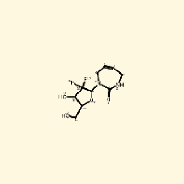 O=C1NCC=CCN1C1OC(CO)C(O)C1(F)F